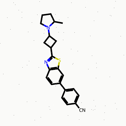 CC1CCCN1C1CC(c2nc3ccc(-c4ccc(C#N)cc4)cc3s2)C1